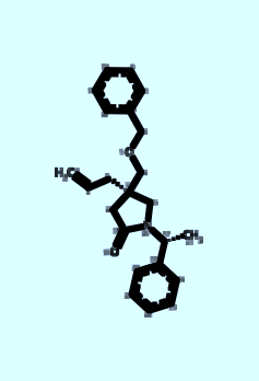 C=CC[C@@]1(COCc2ccccc2)CC(=O)N([C@H](C)c2ccccc2)C1